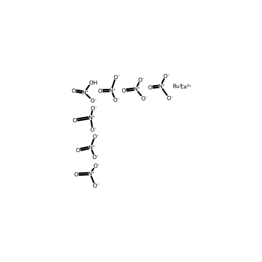 O=[N+]([O-])O.O=[N+]([O-])[O-].O=[N+]([O-])[O-].O=[N+]([O-])[O-].O=[N+]([O-])[O-].O=[N+]([O-])[O-].O=[N+]([O-])[O-].[La+3].[Ru+3]